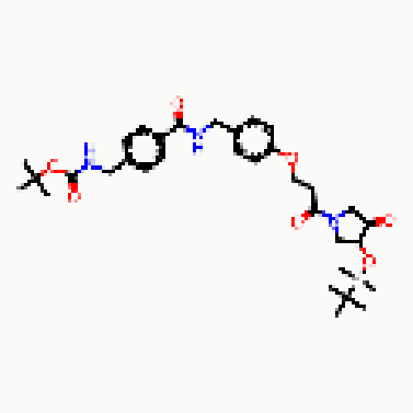 CC(C)(C)OC(=O)NCc1ccc(C(=O)NCc2ccc(OCCC(=O)N3CC(=O)C(O[Si](C)(C)C(C)(C)C)C3)cc2)cc1